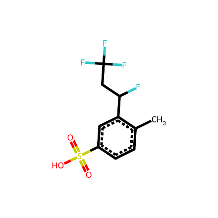 Cc1ccc(S(=O)(=O)O)cc1C(F)CC(F)(F)F